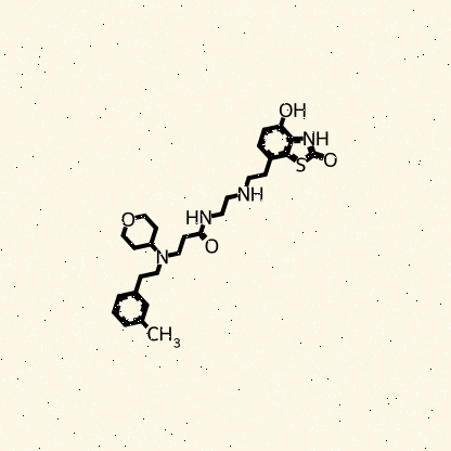 Cc1cccc(CCN(CCC(=O)NCCNCCc2ccc(O)c3[nH]c(=O)sc23)C2CCOCC2)c1